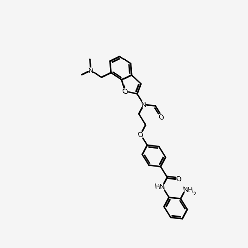 CN(C)Cc1cccc2cc(N(C=O)CCOc3ccc(C(=O)Nc4ccccc4N)cc3)oc12